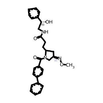 CO/N=C1/CC(CCC(=O)NC[C@@H](O)c2ccccc2)N(C(=O)c2ccc(-c3ccccc3)cc2)C1